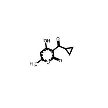 Cc1cc(O)c(C(=O)C2CC2)c(=O)o1